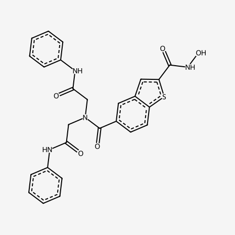 O=C(CN(CC(=O)Nc1ccccc1)C(=O)c1ccc2sc(C(=O)NO)cc2c1)Nc1ccccc1